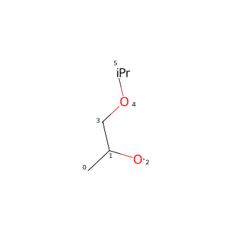 CC([O])COC(C)C